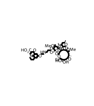 CC[C@@H]1OC(=O)[C@H](C)[C@H](O[C@@H]2C[C@](C)(OC)[C@H](OC(=O)CCNCCOc3cc4c5c(c3)c(=O)c(C(=O)O)cn5CCC4)[C@H](C)O2)[C@@H](C)[C@H](O[C@@H]2O[C@H](C)C[C@H](N(C)C)[C@@H]2O)[C@](C)(OC)C[C@H](C)C(=O)[C@H](C)[C@@H](O)[C@]1(C)O